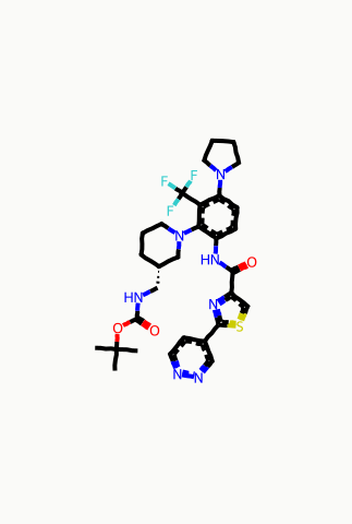 CC(C)(C)OC(=O)NC[C@@H]1CCCN(c2c(NC(=O)c3csc(-c4ccnnc4)n3)ccc(N3CCCC3)c2C(F)(F)F)C1